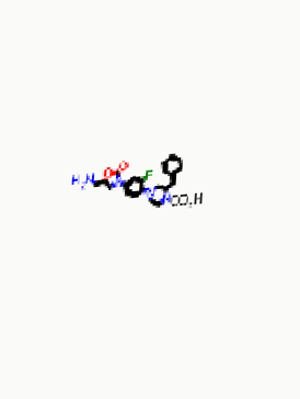 NCC1CN(c2ccc(N3CCN(C(=O)O)C(Cc4ccccc4)C3)c(F)c2)C(=O)O1